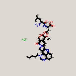 CCCCCN1C=Nc2cccc3nc4c(c1c23)Cn1c-4cc2c(c1=O)COC(=O)[C@@]2(CC)OC(=O)C[C@@H](NC(=O)[C@@H](N)CC(C)C)C(=O)O.Cl